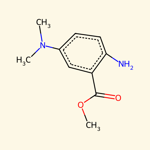 COC(=O)c1cc(N(C)C)ccc1N